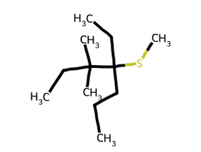 CCCC(CC)(SC)C(C)(C)CC